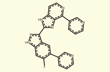 Fc1cc2[nH]nc(-c3nc4c(-c5cccnc5)nccc4[nH]3)c2cc1-c1cccnc1